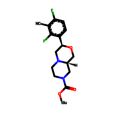 CC(C)(C)OC(=O)N1CCN2C[C@@H](c3ccc(F)c(C#N)c3F)OC[C@H]2C1